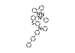 c1ccc(-c2ccc(-c3ccc(N(c4ccccc4)c4ccc5c(c4)sc4cccc(-c6nc(-c7ccccc7)nc(-c7ccccc7-c7ccccc7)n6)c45)cc3)cc2)cc1